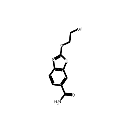 NC(=O)c1ccc2nc(OCCO)oc2c1